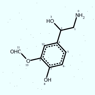 NCC(O)c1ccc(O)c(OC=O)c1